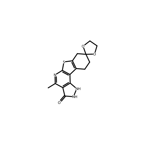 Cc1nc2sc3c(c2c2[nH][nH]c(=O)c12)CCC1(C3)OCCO1